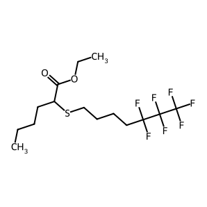 CCCCC(SCCCCC(F)(F)C(F)(F)C(F)(F)F)C(=O)OCC